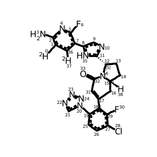 [2H]c1c(N)nc(F)c(-c2cnc([C@@H]3CC[C@@H]4CC(c5c(-n6cnnn6)ccc(Cl)c5F)=CC(=O)N43)[nH]2)c1[2H]